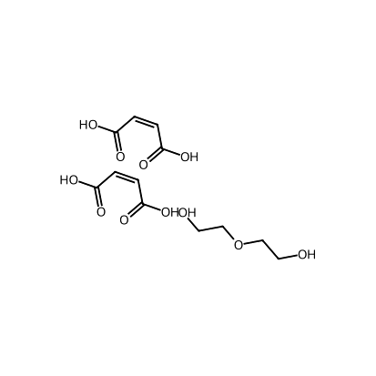 O=C(O)/C=C\C(=O)O.O=C(O)/C=C\C(=O)O.OCCOCCO